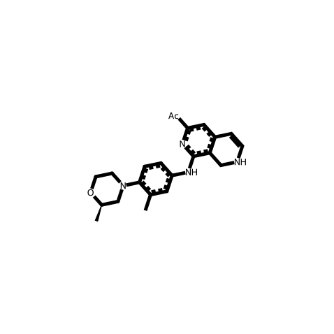 CC(=O)c1cc2c(c(Nc3ccc(N4CCO[C@H](C)C4)c(C)c3)n1)CNC=C2